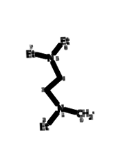 [CH2]N(CC)CCN(CC)CC